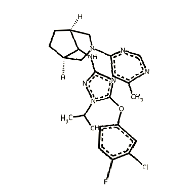 Cc1cc(N2C[C@H]3CC[C@@H](C2)C3Nc2nc(Oc3ccc(F)c(Cl)c3)n(C(C)C)n2)ncn1